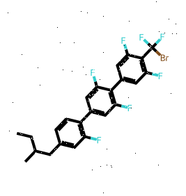 CCC(C)Cc1ccc(-c2cc(F)c(-c3cc(F)c(C(F)(F)Br)c(F)c3)c(F)c2)c(F)c1